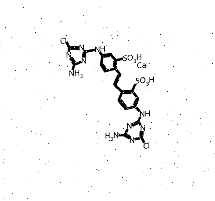 Nc1nc(Cl)nc(Nc2ccc(C=Cc3ccc(Nc4nc(N)nc(Cl)n4)cc3S(=O)(=O)O)c(S(=O)(=O)O)c2)n1.[Ca]